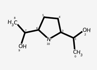 CC(O)C1CCC(C(C)O)[N]1